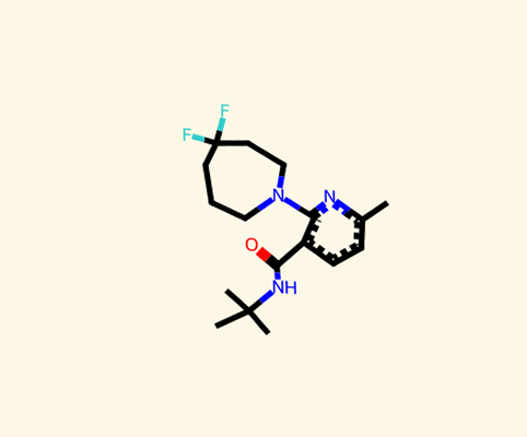 Cc1ccc(C(=O)NC(C)(C)C)c(N2CCCC(F)(F)CC2)n1